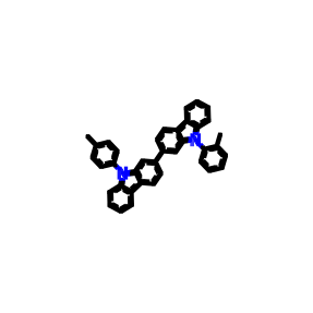 Cc1ccc(-n2c3ccccc3c3ccc(-c4ccc5c6ccccc6n(-c6ccccc6C)c5c4)cc32)cc1